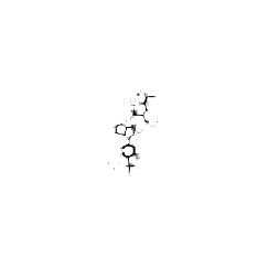 Cc1nc[nH]c1CC1C(=O)CC(CCc2ccc(C(C)(C)C#N)c(F)c2)(C2CCCC2)OC1=O